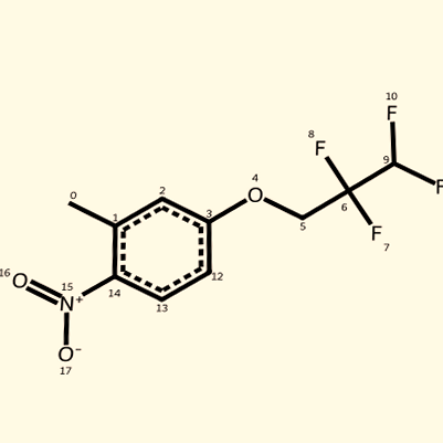 Cc1cc(OCC(F)(F)C(F)F)ccc1[N+](=O)[O-]